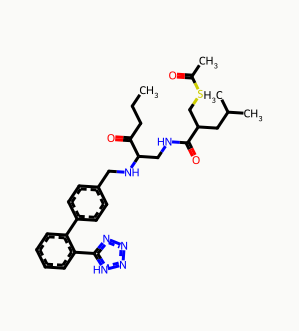 CCCC(=O)C(CNC(=O)C(CSC(C)=O)CC(C)C)NCc1ccc(-c2ccccc2-c2nnn[nH]2)cc1